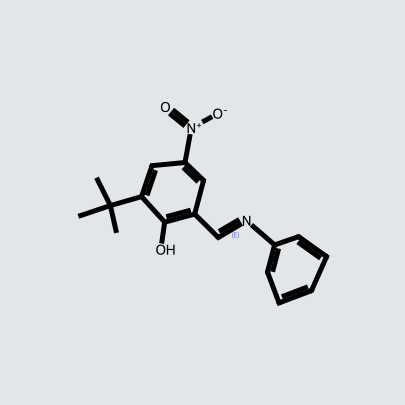 CC(C)(C)c1cc([N+](=O)[O-])cc(/C=N/c2ccccc2)c1O